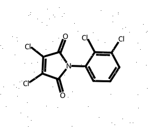 O=C1C(Cl)=C(Cl)C(=O)N1c1cccc(Cl)c1Cl